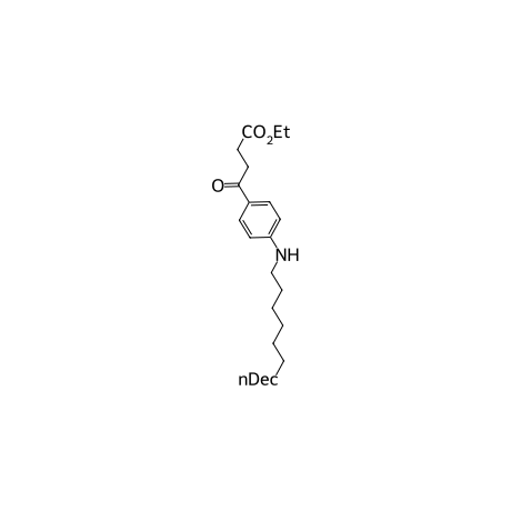 CCCCCCCCCCCCCCCCNc1ccc(C(=O)CCC(=O)OCC)cc1